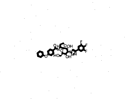 O=C(N[C@@H]1CCO[C@]12O[C@H](CO)[C@H](O)[C@H](n1cc(-c3cc(F)c(F)c(F)c3)nn1)[C@H]2O)c1ccc(Oc2ccccc2)cc1